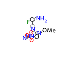 COCCn1cc(C(=O)N2CCC(c3cc(CN)ccc3F)CC2)c2c(NC(=O)c3cnco3)cccc21